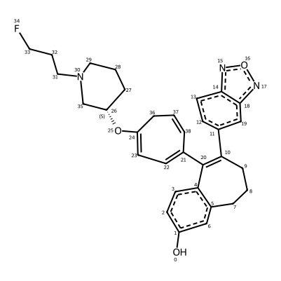 Oc1ccc2c(c1)CCCC(c1ccc3nonc3c1)=C2C1=CC=C(O[C@H]2CCCN(CCCF)C2)CC=C1